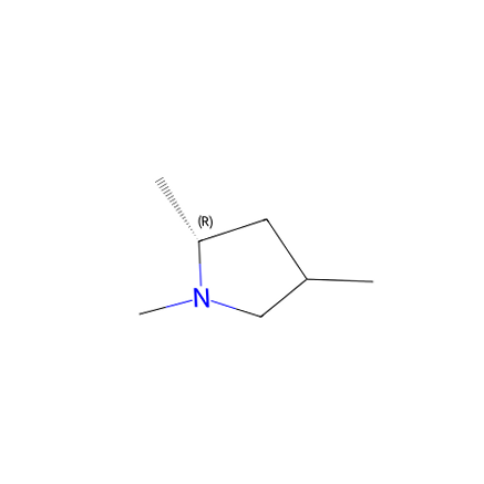 CC1C[C@@H](C)N(C)C1